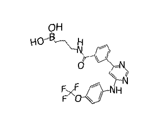 O=C(NCCCB(O)O)c1cccc(-c2cc(Nc3ccc(OC(F)(F)F)cc3)ncn2)c1